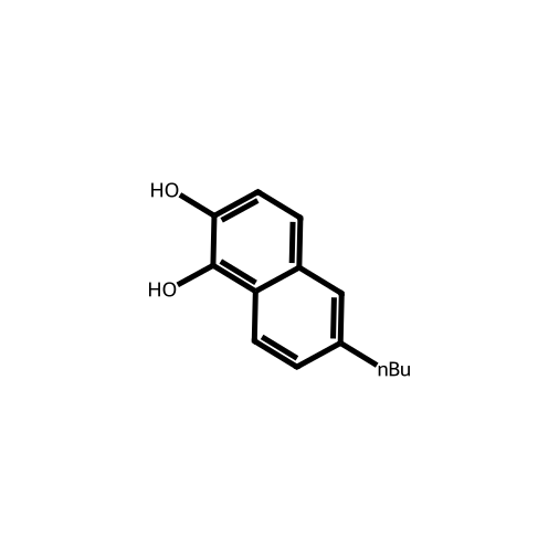 CCCCc1ccc2c(O)c(O)ccc2c1